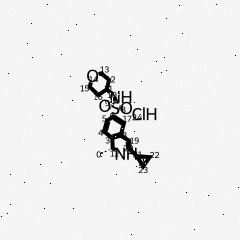 C[C@@H](N)c1ccc(S(=O)(=O)NC2CCOCC2)cc1/C=C/C1CC1.Cl